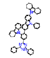 N/C(=N\C(=N/Cc1ccccc1)c1ccc(-c2ccc3c4ccc(-n5c6c(c7c5CCCC7)CCC=C6)cc4n(-c4ccccc4)c3c2)c(-n2c3c(c4ccccc42)C=CCC3)c1)c1ccccc1